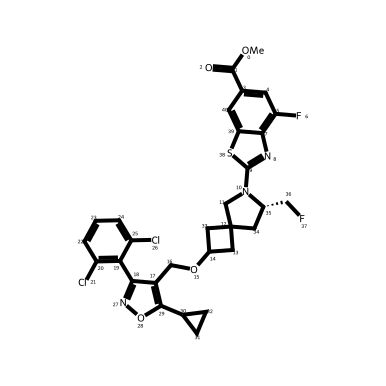 COC(=O)c1cc(F)c2nc(N3CC4(CC(OCc5c(-c6c(Cl)cccc6Cl)noc5C5CC5)C4)C[C@H]3CF)sc2c1